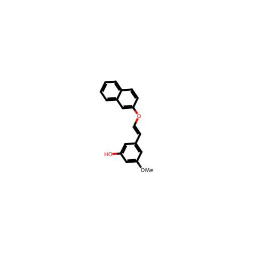 COc1cc(O)cc(/C=C/Oc2ccc3ccccc3c2)c1